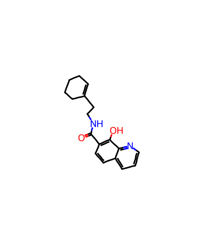 O=C(NCCC1=CCCCC1)c1ccc2cccnc2c1O